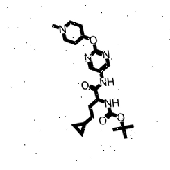 CN1CCC(Oc2ncc(NC(=O)C(CCC3CC3)NC(=O)OC(C)(C)C)cn2)CC1